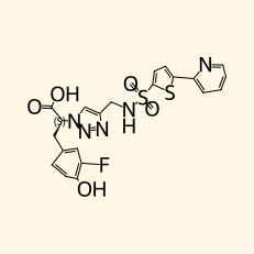 O=C(O)[C@H](Cc1ccc(O)c(F)c1)n1cc(CNS(=O)(=O)c2ccc(-c3ccccn3)s2)nn1